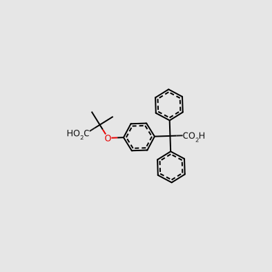 CC(C)(Oc1ccc(C(C(=O)O)(c2ccccc2)c2ccccc2)cc1)C(=O)O